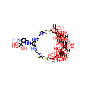 Nc1ccc(CNc2cc3cc(c2)NCc2nc(cs2)CSC[C@H]2O[C@@H]4O[C@H]5C(O)C(O)[C@H](O[C@@H]5CO)O[C@H]5C(O)C(O)[C@H](O[C@@H]5CO)O[C@H]5C(O)C(O)[C@H](O[C@@H]5CSCc5csc(n5)CN3)O[C@H]3C(O)C(O)[C@H](O[C@@H]3CO)O[C@H]3C(O)C(O)[C@@H](O[C@@H]3CO)O[C@H]3C(O)C(O)[C@H](O[C@@H]3CO)O[C@H]2C(O)C4O)cc1C(CO)(CO)CO